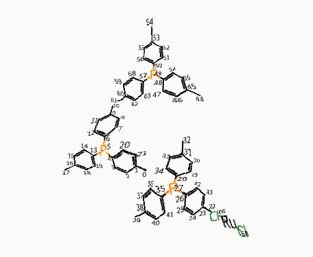 Cc1ccc(P(c2ccc(C)cc2)c2ccc(C)cc2)cc1.Cc1ccc(P(c2ccc(C)cc2)c2ccc(C)cc2)cc1.Cc1ccc(P(c2ccc(C)cc2)c2ccc(C)cc2)cc1.[Cl][Ru][Cl]